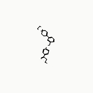 CC=C(CCC(=O)O)c1ccc(OCc2cccc(C3=CCC4(CC3)OCCO4)c2)cc1